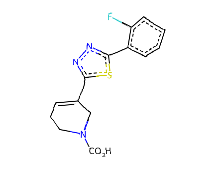 O=C(O)N1CCC=C(c2nnc(-c3ccccc3F)s2)C1